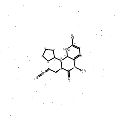 [N-]=[N+]=NC[C@@H]1C(=O)N(N)C2=CC=C(Cl)NC2N1C1CCCC1